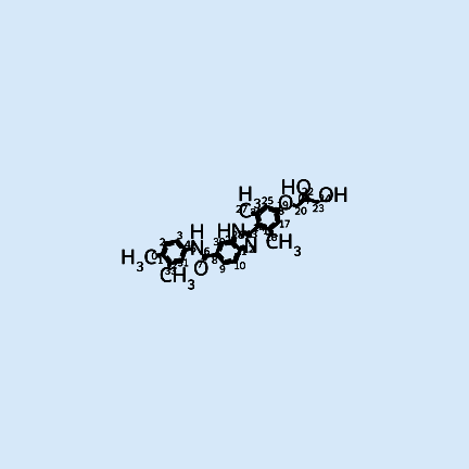 Cc1ccc(NC(=O)c2ccc3nc(-c4c(C)cc(OC[C@@H](O)CO)cc4C)[nH]c3c2)cc1C